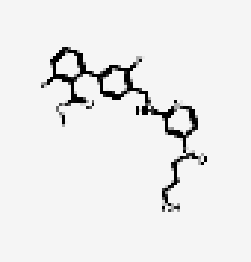 COC(=O)c1c(F)cccc1-c1ccc(CNc2cc([S+]([O-])CCCO)ccn2)c(F)c1